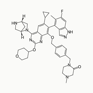 Cc1c(F)cc2[nH]ncc2c1-c1c(C2CC2)cc2c(N3C[C@@H]4C[C@H]3CN4)nc(OC3CCOCC3)nc2c1OCc1ccc(CN2CCN(C)CC2=O)cc1